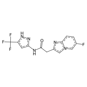 O=C(Cc1cn2cc(F)ccc2n1)Nc1cc(C(F)(F)F)[nH]n1